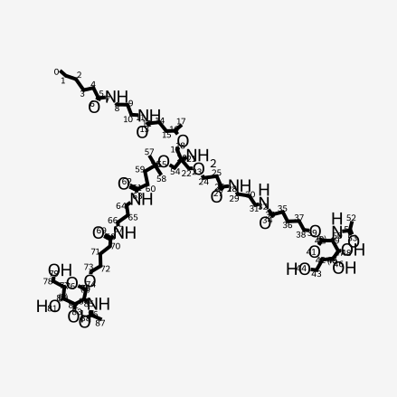 CCCCCC(=O)NCCCNC(=O)CCC(C)OCC(N)(COCCC(=O)NCCCNC(=O)CCCCO[C@@H]1OC(CO)[C@H](O)C(O)C1NC(C)=O)COC(C)(C)CCC(=O)NCCCNC(=O)CCCCO[C@@H]1OC(CO)[C@H](O)C(O)C1NC(C)=O